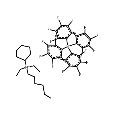 CCCCCC[N+](CC)(CC)C1CCCCC1.Fc1c(F)c(F)c([B-](c2c(F)c(F)c(F)c(F)c2F)(c2c(F)c(F)c(F)c(F)c2F)c2c(F)c(F)c(F)c(F)c2F)c(F)c1F